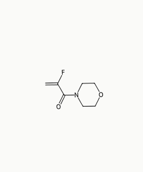 C=C(F)C(=O)N1CCOCC1